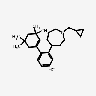 CC1(C)C=C(c2ccccc2C2CCCN(CC3CC3)CC2)CC(C)(C)C1.Cl